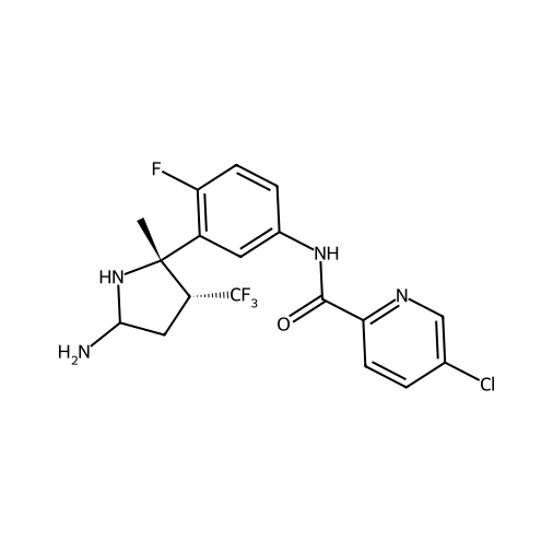 C[C@]1(c2cc(NC(=O)c3ccc(Cl)cn3)ccc2F)NC(N)C[C@H]1C(F)(F)F